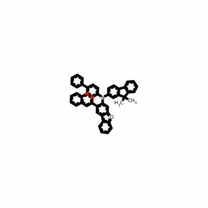 CC1(C)c2ccccc2-c2ccc(N(c3ccc(-c4ccccc4)cc3)c3cc4oc5ccccc5c4cc3-c3ccc4ccccc4c3)cc21